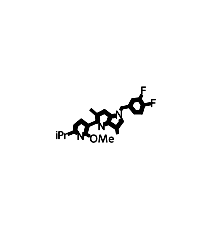 COc1nc(C(C)C)ccc1-c1nc2c(C)cn(Cc3ccc(F)c(F)c3)c2cc1C